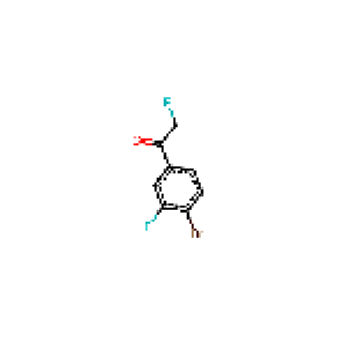 O=C(CF)c1ccc(Br)c(F)c1